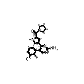 Nc1ncc(-c2cccc(Cl)c2F)c(-c2c[nH]c(C(=O)N3CCCC3)c2)n1